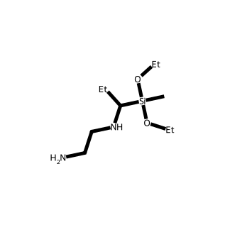 CCO[Si](C)(OCC)C(CC)NCCN